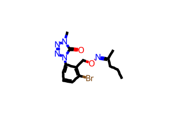 CCCC(C)=NOCc1c(Br)cccc1-n1nnn(C)c1=O